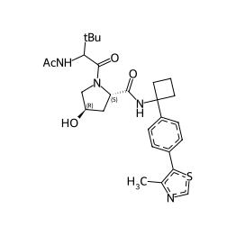 CC(=O)NC(C(=O)N1C[C@H](O)C[C@H]1C(=O)NC1(c2ccc(-c3scnc3C)cc2)CCC1)C(C)(C)C